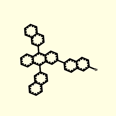 Brc1ccc2cc(-c3ccc4c(-c5ccc6ccccc6c5)c5ccccc5c(-c5ccc6ccccc6c5)c4c3)ccc2c1